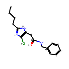 CCCCc1nc(Cl)c(CC(=O)NCc2ccccc2)[nH]1